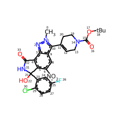 Cn1nc2c3c(c([N+](=O)[O-])cc2c1C1=CCN(C(=O)OC(C)(C)C)CC1)C(O)(c1cc(F)ccc1Cl)NC3=O